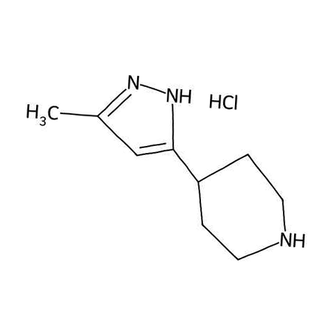 Cc1cc(C2CCNCC2)[nH]n1.Cl